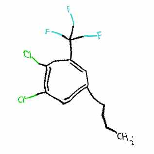 [CH2]CCc1cc(Cl)c(Cl)c(C(F)(F)F)c1